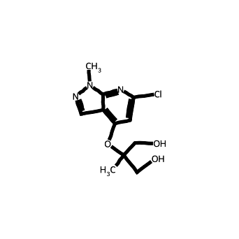 Cn1ncc2c(OC(C)(CO)CO)cc(Cl)nc21